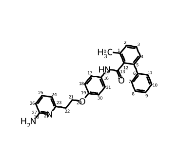 Cc1cccc(-c2ccccc2)c1C(=O)Nc1ccc(OCCc2cccc(N)n2)cc1